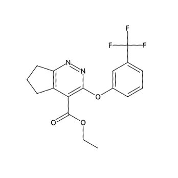 CCOC(=O)c1c(Oc2cccc(C(F)(F)F)c2)nnc2c1CCC2